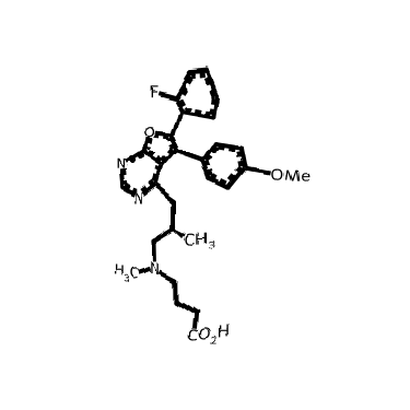 COc1ccc(-c2c(-c3ccccc3F)oc3ncnc(C[C@@H](C)CN(C)CCCC(=O)O)c23)cc1